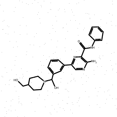 Nc1ncc(-c2cccc(C(O)N3CCC(CO)CC3)c2)nc1C(=O)Nc1ccccc1